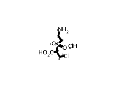 Cl.NCCS(=O)(=O)C(CCl)C(=O)O